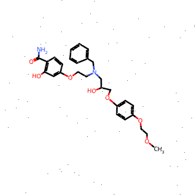 COCCOc1ccc(OCC(O)CN(CCOc2ccc(C(N)=O)c(O)c2)Cc2ccccc2)cc1